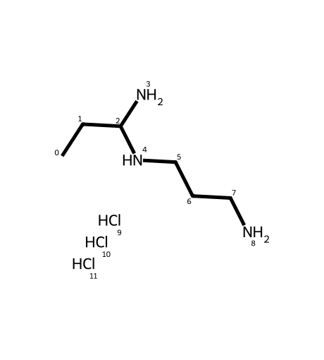 CCC(N)NCCCN.Cl.Cl.Cl